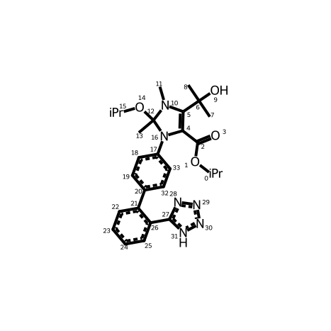 CC(C)OC(=O)C1=C(C(C)(C)O)N(C)C(C)(OC(C)C)N1c1ccc(-c2ccccc2-c2nnn[nH]2)cc1